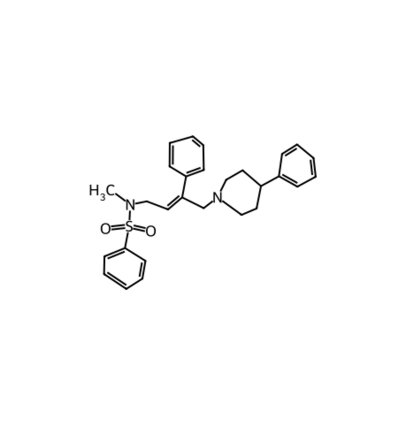 CN(CC=C(CN1CCC(c2ccccc2)CC1)c1ccccc1)S(=O)(=O)c1ccccc1